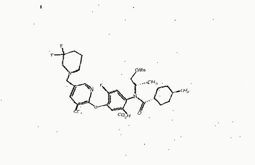 COC[C@H](C)N(c1cc(F)c(Oc2ncc(CN3CCCC(F)(F)C3)cc2C(F)(F)F)cc1C(=O)O)C(=O)[C@H]1CC[C@H](C)CC1